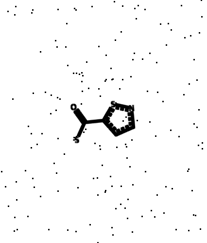 O=C([S])c1ccns1